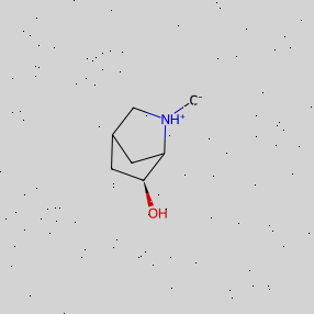 [CH2-][NH+]1CC2CC1[C@@H](O)C2